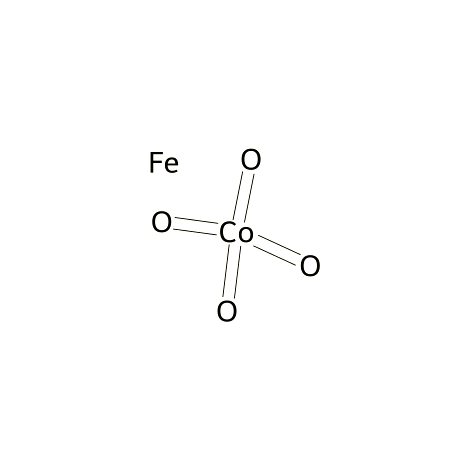 [Fe].[O]=[Co](=[O])(=[O])=[O]